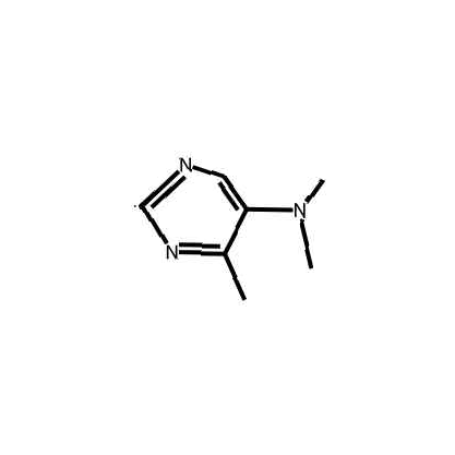 Cc1n[c]ncc1N(C)C